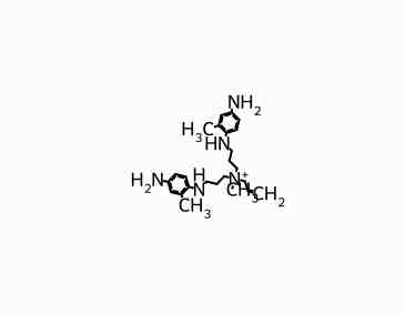 C=CC[N+](C)(CCCNc1ccc(N)cc1C)CCCNc1ccc(N)cc1C